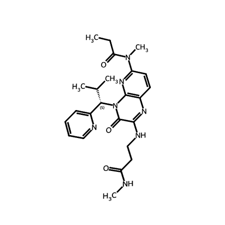 CCC(=O)N(C)c1ccc2nc(NCCC(=O)NC)c(=O)n([C@H](c3ccccn3)C(C)C)c2n1